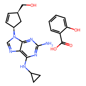 Nc1nc(NC2CC2)c2ncn([C@H]3C=C[C@@H](CO)C3)c2n1.O=C(O)c1ccccc1O